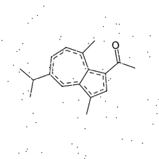 CC(=O)c1cc(C)c2cc(C(C)C)ccc(C)c1-2